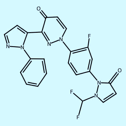 O=c1ccn(-c2ccc(-n3c(=O)ccn3C(F)F)cc2F)nc1-c1ccnn1-c1ccccc1